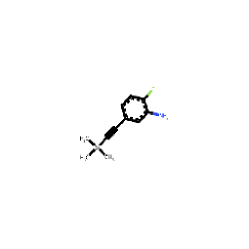 C[Si](C)(C)C#Cc1ccc(F)c(N)c1